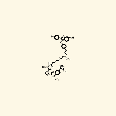 Cc1ncsc1-c1ccc([C@H](C)NC(=O)[C@@H]2CCCN2C(=O)C(NC(=O)COCCOCCN(C)CCOc2ccc(Oc3c(-c4ccc(F)cc4)sc4cc(O)ccc34)cc2)C(C)(C)C)cc1